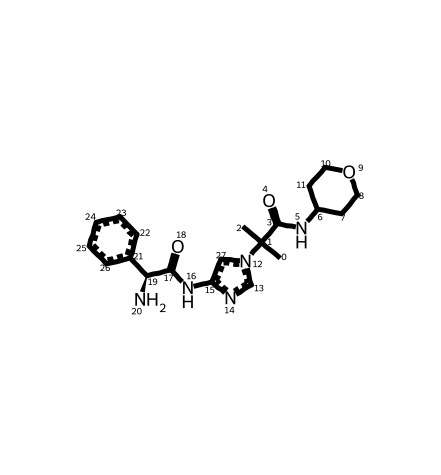 CC(C)(C(=O)NC1CCOCC1)n1cnc(NC(=O)[C@@H](N)c2ccccc2)c1